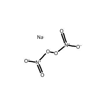 O=[N+]([O-])OO[N+](=O)[O-].[Na]